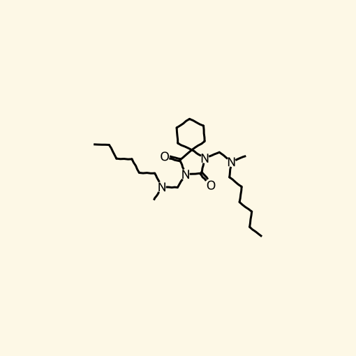 CCCCCCN(C)CN1C(=O)N(CN(C)CCCCCC)C2(CCCCC2)C1=O